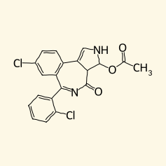 CC(=O)OC1NC=C2c3ccc(Cl)cc3C(c3ccccc3Cl)=NC(=O)C21